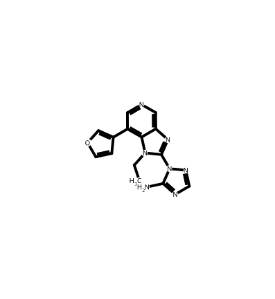 CCn1c(-n2ncnc2N)nc2cncc(-c3ccoc3)c21